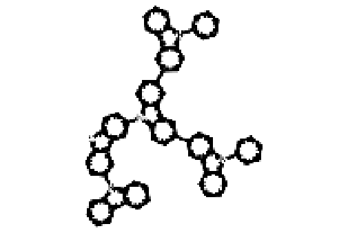 c1ccc(-n2c3ccccc3c3cc(-c4ccc5c(c4)c4cc(-c6ccc7c(c6)c6ccccc6n7-c6ccccc6)ccc4n5-c4ccc5sc6ccc(-n7c8ccccc8c8ccccc87)cc6c5c4)ccc32)cc1